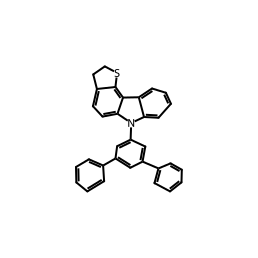 c1ccc(-c2cc(-c3ccccc3)cc(-n3c4ccccc4c4c5c(ccc43)CCS5)c2)cc1